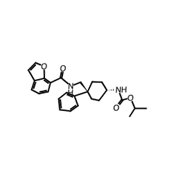 CC(C)OC(=O)N[C@H]1CC[C@@](CNC(=O)c2cccc3ccoc23)(c2ccccc2)CC1